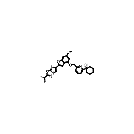 COc1cc(OCc2cccc(C3(O)CCCCC3)n2)c2cc(-c3cn4nc([C@H](C)F)sc4n3)oc2c1